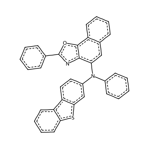 c1ccc(-c2nc3c(N(c4ccccc4)c4ccc5c(c4)sc4ccccc45)cc4ccccc4c3o2)cc1